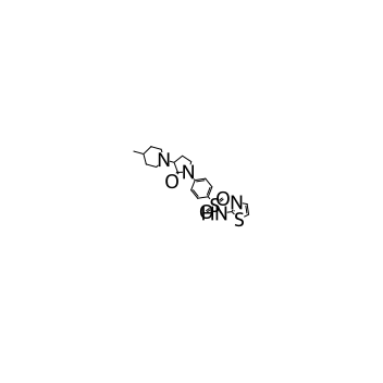 CC1CCN(C2CCN(c3ccc(S(=O)(=O)Nc4nccs4)cc3)C2=O)CC1